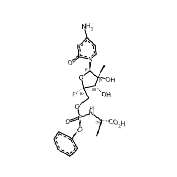 C[C@H](NP(=O)(OC[C@@]1(F)O[C@@H](n2ccc(N)nc2=O)[C@](C)(O)[C@@H]1O)Oc1ccccc1)C(=O)O